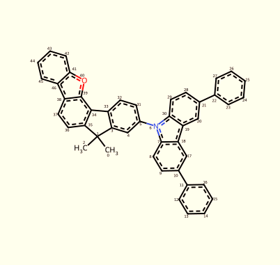 CC1(C)c2cc(-n3c4ccc(-c5ccccc5)cc4c4cc(-c5ccccc5)ccc43)ccc2-c2c1ccc1c2oc2ccccc21